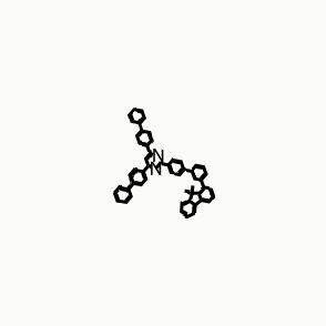 CC1(C)c2ccccc2-c2cccc(-c3cccc(-c4ccc(-c5nc(-c6ccc(-c7ccccc7)cc6)cc(-c6ccc(-c7ccccc7)cc6)n5)cc4)c3)c21